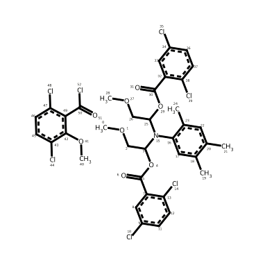 COCC(OC(=O)c1cc(Cl)ccc1Cl)N(c1cc(C)c(C)cc1C)C(COC)OC(=O)c1cc(Cl)ccc1Cl.COc1c(Cl)ccc(Cl)c1C(=O)Cl